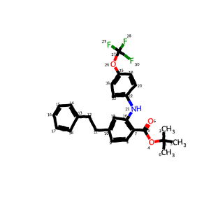 CC(C)(C)OC(=O)c1ccc(CCc2ccccc2)cc1Nc1ccc(OC(F)(F)F)cc1